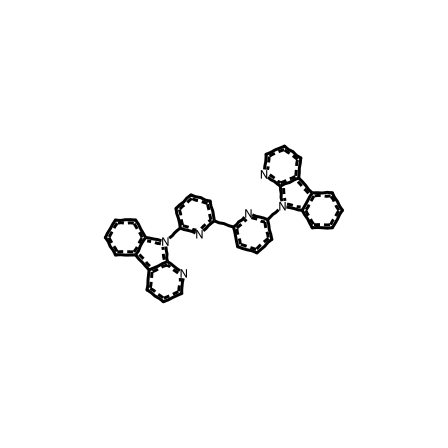 c1cc(-c2cccc(-n3c4ccccc4c4cccnc43)n2)nc(-n2c3ccccc3c3cccnc32)c1